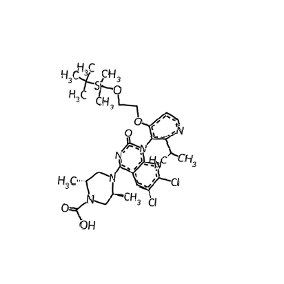 CC(C)c1nccc(OCCO[Si](C)(C)C(C)(C)C)c1-n1c(=O)nc(N2C[C@@H](C)N(C(=O)O)C[C@@H]2C)c2cc(Cl)c(Cl)nc21